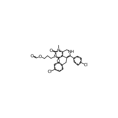 Cn1c2c(c(=O)n(CCCOC=O)c1=O)C(Cc1ccc(Cl)cc1)=C(c1ccc(Cl)cc1)NC2